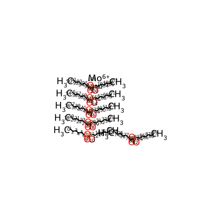 CCCCCCCOP(=O)([O-])CCCCCCC.CCCCCCCOP(=O)([O-])CCCCCCC.CCCCCCCOP(=O)([O-])CCCCCCC.CCCCCCCOP(=O)([O-])CCCCCCC.CCCCCCCOP(=O)([O-])CCCCCCC.CCCCCCCOP(=O)([O-])CCCCCCC.[Mo+6]